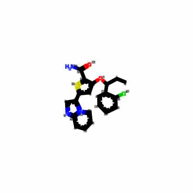 CCC(Oc1cc(-c2cnc3ccccn23)sc1C(N)=O)c1ccccc1Cl